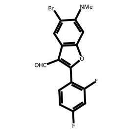 CNc1cc2oc(-c3ccc(F)cc3F)c(C=O)c2cc1Br